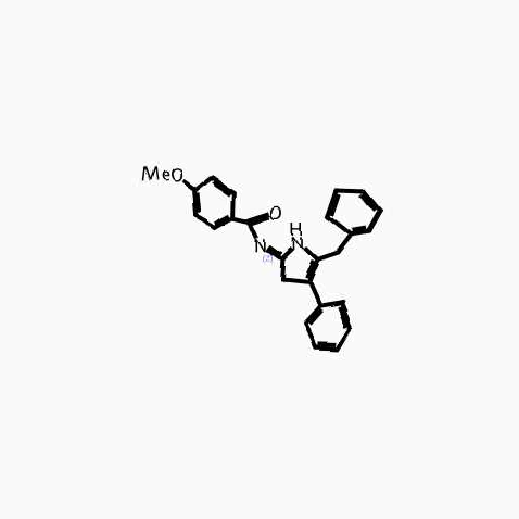 COc1ccc(C(=O)/N=C2/CC(c3ccccc3)=C(Cc3ccccc3)N2)cc1